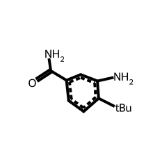 CC(C)(C)c1ccc(C(N)=O)cc1N